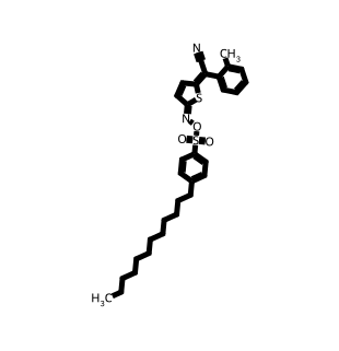 CCCCCCCCCCCCc1ccc(S(=O)(=O)ON=C2C=CC(=C(C#N)c3ccccc3C)S2)cc1